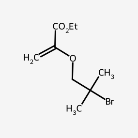 C=C(OCC(C)(C)Br)C(=O)OCC